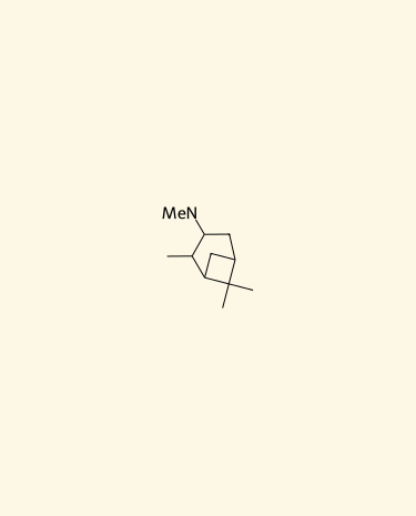 CNC1CC2CC(C1C)C2(C)C